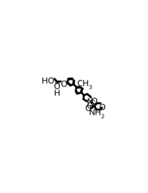 Cc1cc(C2CCN(S(=O)(=O)C3(C(N)=O)CCOCC3)CC2)ccc1-c1cccc(OC[C@@H](O)CO)c1